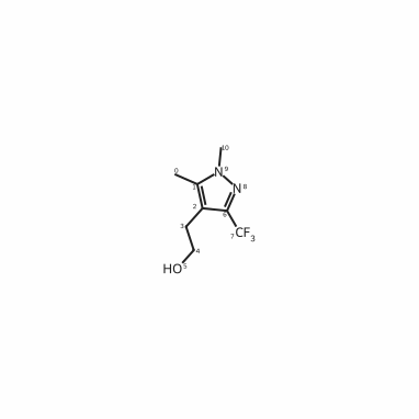 Cc1c(CCO)c(C(F)(F)F)nn1C